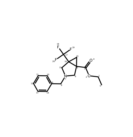 CCOC(=O)C12CN(Cc3ccccc3)CC1(C(F)(F)F)C2